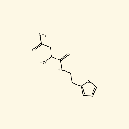 NC(=O)CC(O)C(=O)NCCc1cccs1